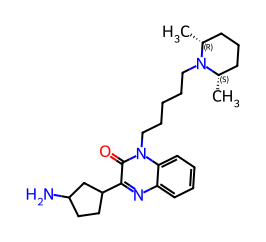 C[C@@H]1CCC[C@H](C)N1CCCCCn1c(=O)c(C2CCC(N)C2)nc2ccccc21